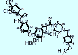 Br.Br.COc1ccc(CN2CCN(C(=O)c3cc4cc(Oc5ccc(NC(=O)c6ccc(Cl)c(Cl)c6)cn5)ccc4n3C)CC2)nc1